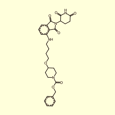 O=C1CCC(N2C(=O)c3cccc(NCCCCOC4CCN(C(=O)OCc5ccccc5)CC4)c3C2=O)C(=O)N1